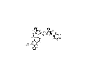 CCCc1cc2c(cc1O)CCC1C2CC[C@]2(C)C(=O)C[C@@H](CCCC(=O)N(C)Cc3ccccc3)C12